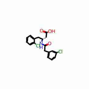 O=C(O)C[C@@H](Cc1ccccc1Cl)NC(=O)Cc1cccc(Cl)c1